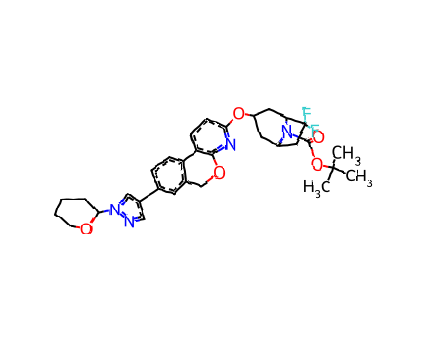 CC(C)(C)OC(=O)N1C2CC(Oc3ccc4c(n3)OCc3cc(-c5cnn(C6CCCCO6)c5)ccc3-4)CC1C(F)(F)C2